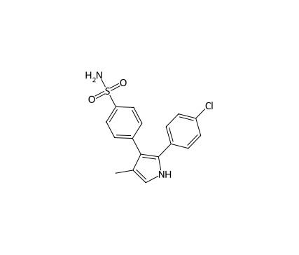 Cc1c[nH]c(-c2ccc(Cl)cc2)c1-c1ccc(S(N)(=O)=O)cc1